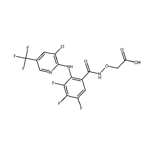 O=C(O)CONC(=O)c1cc(F)c(F)c(F)c1Nc1ncc(C(F)(F)F)cc1Cl